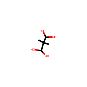 CC(C)(C(O)O)C(O)O